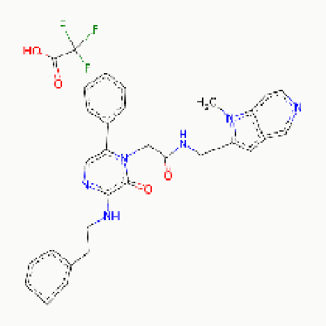 Cn1c(CNC(=O)Cn2c(-c3ccccc3)cnc(NCCc3ccccc3)c2=O)cc2cnccc21.O=C(O)C(F)(F)F